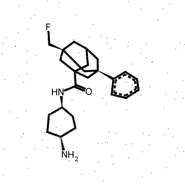 N[C@H]1CC[C@@H](NC(=O)C23CC4C[C@@](CF)(C2)C[C@](c2ccccc2)(C4)C3)CC1